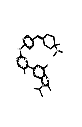 Cc1nc2c(F)cc(-c3nc(Nc4ccc(C=C5CCC(C)(N(C)C)CC5)cn4)ncc3F)cc2n1C(C)C